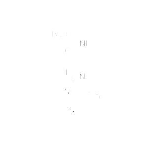 Cc1cc2cc(C(=O)/C(C#N)=C/N(C)C)n(SI)c2cc1NC(=O)OC(C)(C)C